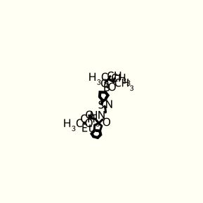 CCC(C)(C)OC(=O)CC1(C(=O)NCc2nc3cc(B4OC(C)(C)C(C)(C)O4)ccc3s2)Cc2ccccc2C1